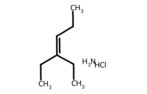 CCC=C(CC)CC.Cl.N